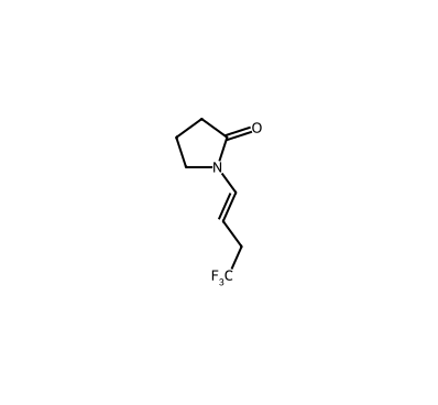 O=C1CCCN1/C=C/CC(F)(F)F